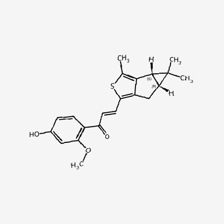 COc1cc(O)ccc1C(=O)C=Cc1sc(C)c2c1C[C@@H]1[C@H]2C1(C)C